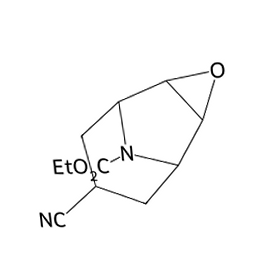 CCOC(=O)N1C2CC(C#N)CC1C1OC12